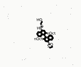 CCCCCCCCc1cc(BOCCO)c2ccccc2c1-c1c(CCCCCCCC)cc(B2OCCS2)c2ccccc12